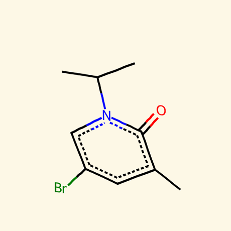 Cc1cc(Br)cn(C(C)C)c1=O